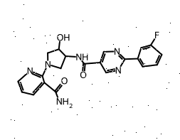 NC(=O)c1cccnc1N1CC(O)C(NC(=O)c2cnc(-c3cccc(F)c3)nc2)C1